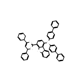 C1=CCC(C2=CC(c3ccccc3)NC(c3ccc(N(c4ccc(-c5ccccc5)cc4)c4ccc(-c5ccccc5)cc4)c4c3oc3ccccc34)=N2)C=C1